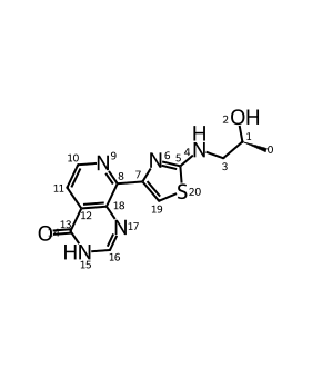 C[C@H](O)CNc1nc(-c2nccc3c(=O)[nH]cnc23)cs1